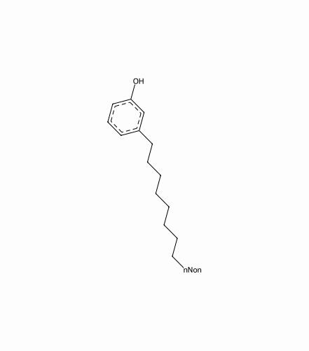 CCCCCCCCCCCCCCCCCc1cccc(O)c1